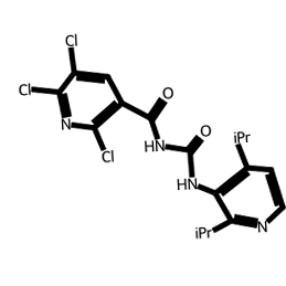 CC(C)c1ccnc(C(C)C)c1NC(=O)NC(=O)c1cc(Cl)c(Cl)nc1Cl